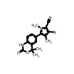 Cc1c(Br)c(C#N)n(C)c1-c1ccc2c(c1)C(C)(C)OC(=O)N2